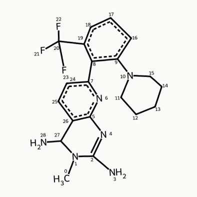 CN1C(N)=Nc2nc(-c3c(N4CCCCC4)cccc3C(F)(F)F)ccc2C1N